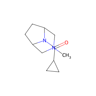 CN1CC2CCC(C1)N2C(=O)C1CC1